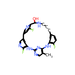 Cc1cnc2nc1Nc1cc(ccc1F)CCCNC(O)c1ncc(cc1F)-c1cnc(F)c(c1)N2